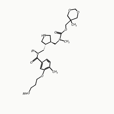 COCCCOc1cc(C(=O)N(C[C@@H]2CNC[C@H]2CN(C)C(=O)OCC2(C)COCOC2)C(C)C)ccc1C